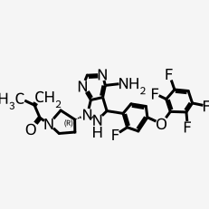 C=C(C)C(=O)N1CC[C@@H](N2NC(c3ccc(Oc4c(F)c(F)cc(F)c4F)cc3F)c3c(N)ncnc32)C1